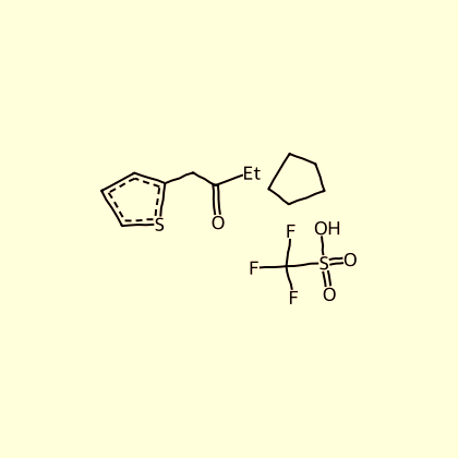 C1CCCC1.CCC(=O)Cc1cccs1.O=S(=O)(O)C(F)(F)F